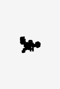 CCCCn1cc(-c2ccc(Cl)s2)cc(C(=O)NCCc2ccccc2)c1=O